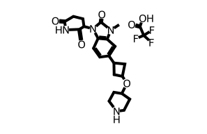 Cn1c(=O)n(C2CCC(=O)NC2=O)c2ccc(C3CC(OC4CCNCC4)C3)cc21.O=C(O)C(F)(F)F